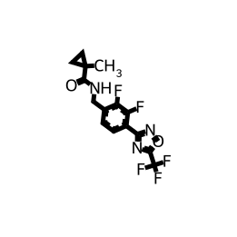 CC1(C(=O)NCc2ccc(-c3noc(C(F)(F)F)n3)c(F)c2F)CC1